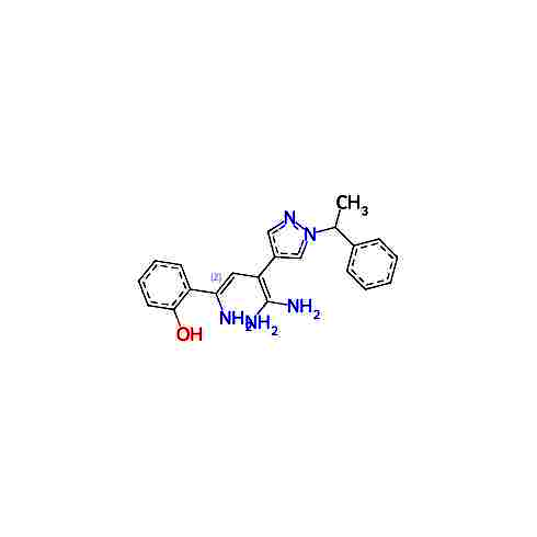 CC(c1ccccc1)n1cc(C(/C=C(\N)c2ccccc2O)=C(N)N)cn1